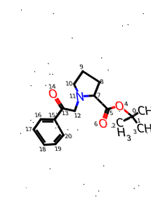 CC(C)(C)OC(=O)C1CCCN1CC(=O)c1ccccc1